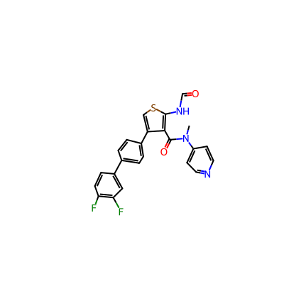 CN(C(=O)c1c(-c2ccc(-c3ccc(F)c(F)c3)cc2)csc1NC=O)c1ccncc1